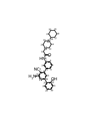 N#Cc1c(-c2cccc(NC(=O)CN3CCN(C4CCCCC4)CC3)c2)cc(-c2ccccc2O)nc1N